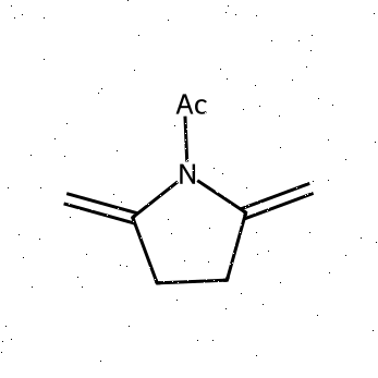 C=C1CCC(=C)N1C(C)=O